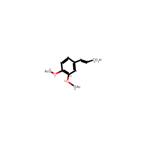 CC(=O)OOc1ccc(C=CC(=O)O)cc1OOC(C)=O